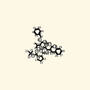 CC(C)[C@H](NC(=O)[C@@H](NC(=O)[C@@H]1CCCN1C(=O)OC(C)(C)C)C(Cc1ccccc1)C(=O)O)C(=O)OCc1ccccc1